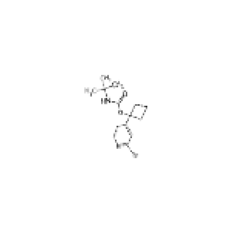 CC(C)(C)NC(=O)OC1(c2ccnc(Br)c2)CCC1